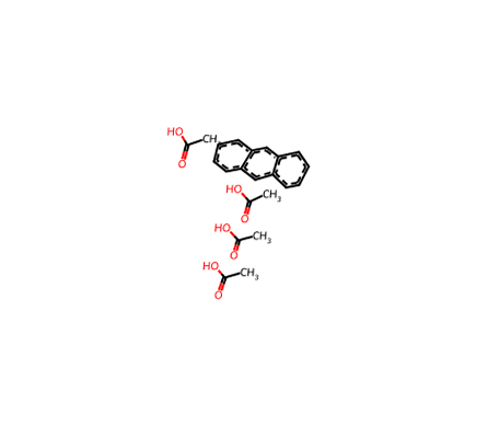 CC(=O)O.CC(=O)O.CC(=O)O.CC(=O)O.c1ccc2cc3ccccc3cc2c1